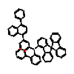 c1ccc(-c2ccccc2N(c2cccc(-c3ccc(-c4ccccc4)c4ccccc34)c2)c2cccc3c2-c2ccccc2C32c3ccccc3-c3ccccc32)cc1